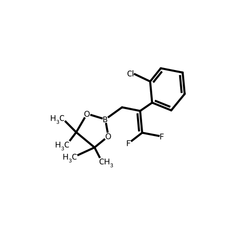 CC1(C)OB(CC(=C(F)F)c2ccccc2Cl)OC1(C)C